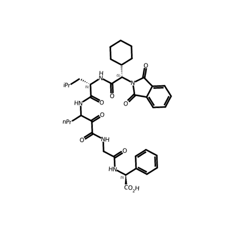 CCCC(NC(=O)[C@H](CC(C)C)NC(=O)[C@H](C1CCCCC1)N1C(=O)c2ccccc2C1=O)C(=O)C(=O)NCC(=O)N[C@H](C(=O)O)c1ccccc1